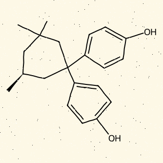 C[C@H]1CC(C)(C)CC(c2ccc(O)cc2)(c2ccc(O)cc2)C1